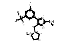 CNc1nc(-c2cc(Cl)cc(C(F)(F)F)c2)c(CN2CCC[C@H]2C)s1